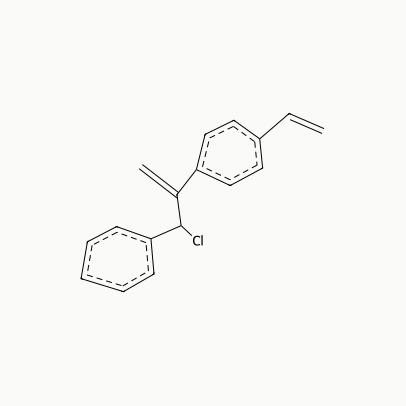 C=Cc1ccc(C(=C)C(Cl)c2ccccc2)cc1